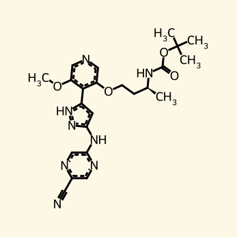 COc1cncc(OCC[C@H](C)NC(=O)OC(C)(C)C)c1-c1cc(Nc2cnc(C#N)cn2)n[nH]1